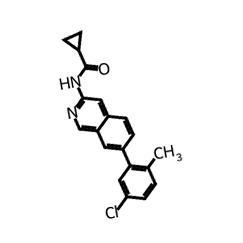 Cc1ccc(Cl)cc1-c1ccc2cc(NC(=O)C3CC3)ncc2c1